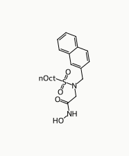 CCCCCCCCS(=O)(=O)N(CC(=O)NO)Cc1ccc2ccccc2c1